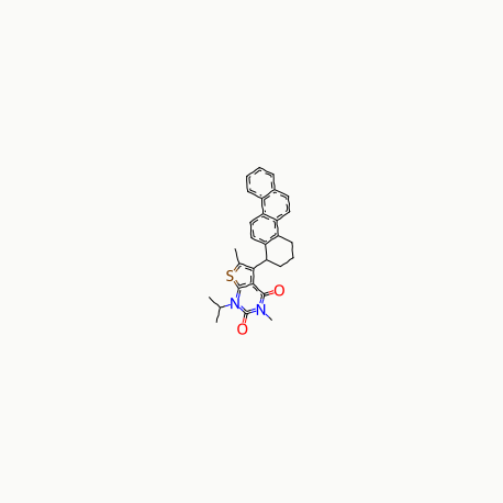 Cc1sc2c(c1C1CCCc3c1ccc1c3ccc3ccccc31)c(=O)n(C)c(=O)n2C(C)C